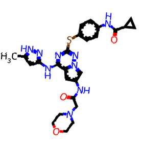 Cc1cc(Nc2nc(Sc3ccc(NC(=O)C4CC4)cc3)nn3cc(NC(=O)CN4CCOCC4)cc23)n[nH]1